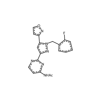 CC(=O)Nc1ccnc(-c2cc(-c3ccon3)n(Cc3ccccc3F)n2)n1